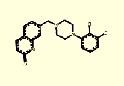 O=c1ccc2ccc(CN3CCN(c4cccc(Cl)c4Cl)CC3)cc2[nH]1